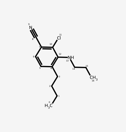 CCCCc1ccc(C#N)c(Cl)c1NCCC